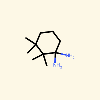 CC1(C)CCCC(N)(N)C1(C)C